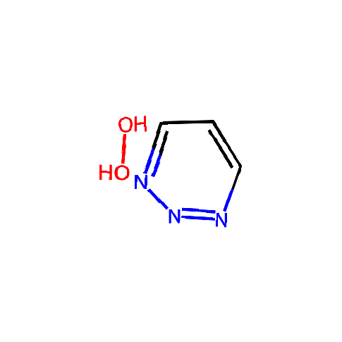 OO.c1cnnnc1